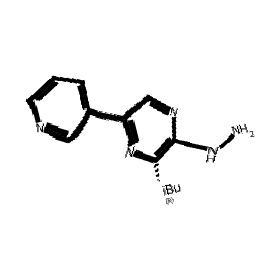 CC[C@@H](C)c1nc(-c2cccnc2)cnc1NN